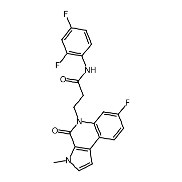 Cn1ccc2c3ccc(F)cc3n(CCC(=O)Nc3ccc(F)cc3F)c(=O)c21